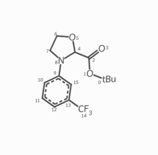 CC(C)(C)OC(=O)C1OCCN1c1cccc(C(F)(F)F)c1